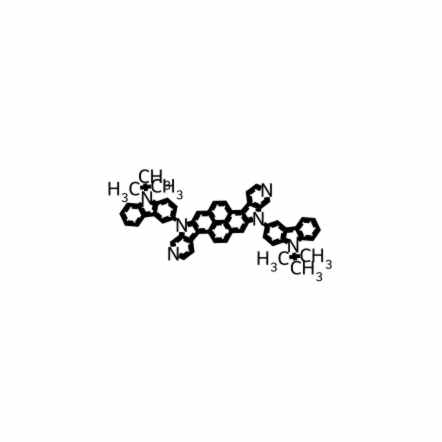 CC(C)(C)n1c2ccccc2c2cc(-n3c4cnccc4c4c5ccc6cc7c(c8ccc(cc43)c5c68)c3ccncc3n7-c3ccc4c(c3)c3ccccc3n4C(C)(C)C)ccc21